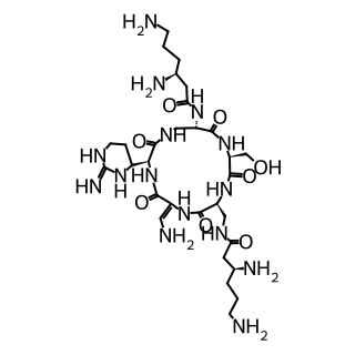 N=C1NCCC([C@@H]2NC(=O)/C(=C/N)NC(=O)[C@H](CNC(=O)C[C@@H](N)CCCN)NC(=O)[C@H](CO)NC(=O)[C@@H](NC(=O)C[C@@H](N)CCCN)CNC2=O)N1